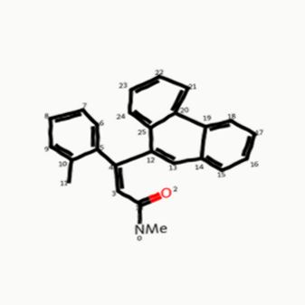 CNC(=O)C=C(c1ccccc1C)c1cc2ccccc2c2ccccc12